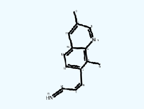 Cc1cnc2c(C)c(/C=C\C=N)ccc2c1